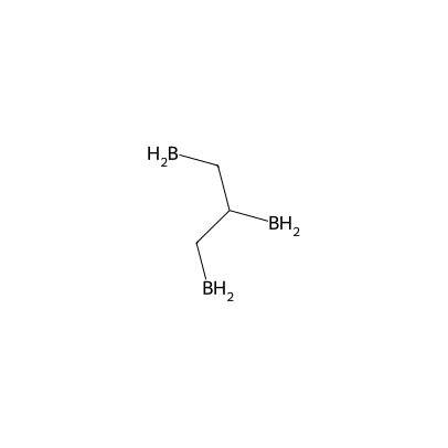 BCC(B)CB